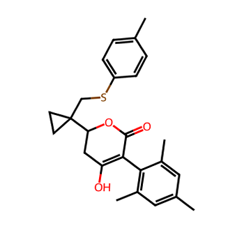 Cc1ccc(SCC2(C3CC(O)=C(c4c(C)cc(C)cc4C)C(=O)O3)CC2)cc1